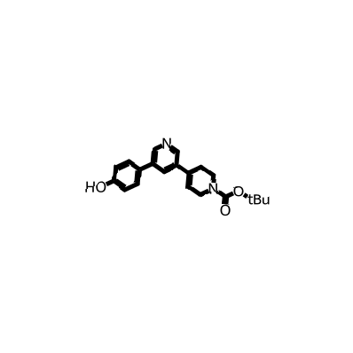 CC(C)(C)OC(=O)N1CC=C(c2cncc(-c3ccc(O)cc3)c2)CC1